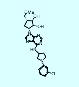 COC[C@H]1C[C@H](n2cnc3c(NC4CCN(c5cccc(Cl)c5)C4)ncnc32)[C@H](O)[C@@H]1O